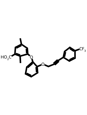 Cc1cc(Oc2ccccc2OCC#Cc2ccc(C(F)(F)F)cc2)c(C)c(C(=O)O)c1